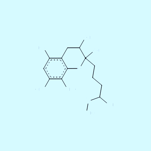 CC(CCCC1(C)Oc2c(C=O)c(C=O)cc(O)c2CC1O)OC=O